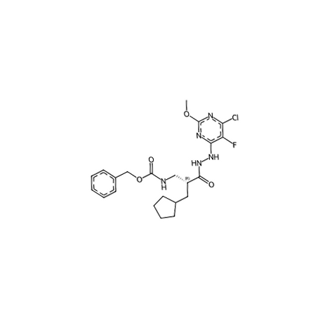 COc1nc(Cl)c(F)c(NNC(=O)[C@@H](CNC(=O)OCc2ccccc2)CC2CCCC2)n1